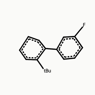 CC(C)(C)c1ccccc1-c1cccc(F)c1